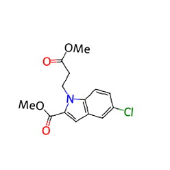 COC(=O)CCn1c(C(=O)OC)cc2cc(Cl)ccc21